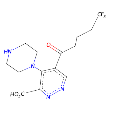 O=C(CCCC(F)(F)F)c1cnnc(C(=O)O)c1N1CCNCC1